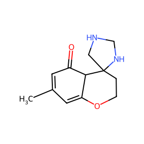 CC1=CC(=O)C2C(=C1)OCCC21CNCN1